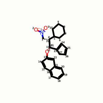 O=[N+]([O-])C[C@H](C1CCCCC1)[C@@H](Oc1ccc2ccccc2c1)C1=CC=CC1